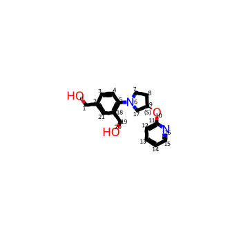 OCc1ccc(N2CC[C@H](Oc3ccccn3)C2)c(CO)c1